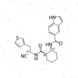 N#C[C@H](Cc1ccsc1)NC(=O)[C@@H]1CCCC[C@@H]1NC(=O)c1ccc2[nH]ccc2c1